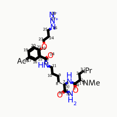 CN[C@@H](CC(C)C)C(=O)N[C@@H](CCCCNC(=O)c1cc(C(C)=O)ccc1OCCCN=[N+]=[N-])C(N)=O